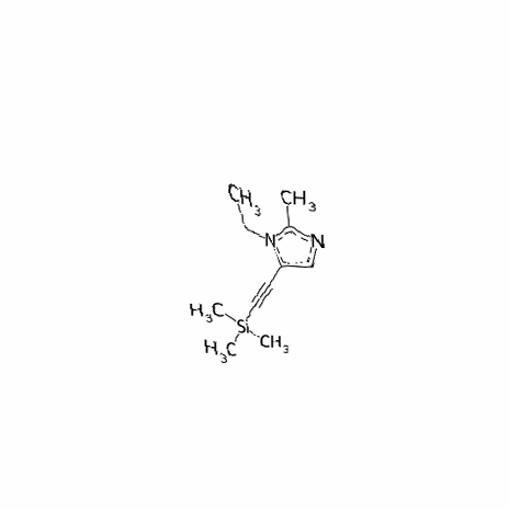 CCn1c(C#C[Si](C)(C)C)cnc1C